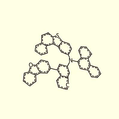 c1ccc2c(-c3ccc4oc5ccccc5c4c3)cc(N(c3ccc4sc5ccc6ccccc6c5c4c3)c3cc4ccccc4c4ccccc34)cc2c1